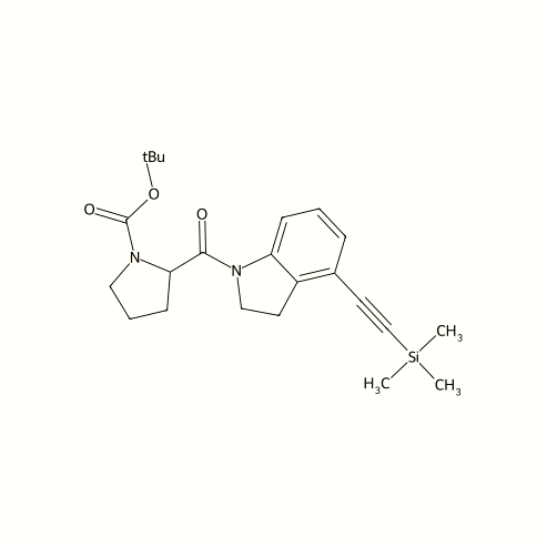 CC(C)(C)OC(=O)N1CCCC1C(=O)N1CCc2c(C#C[Si](C)(C)C)cccc21